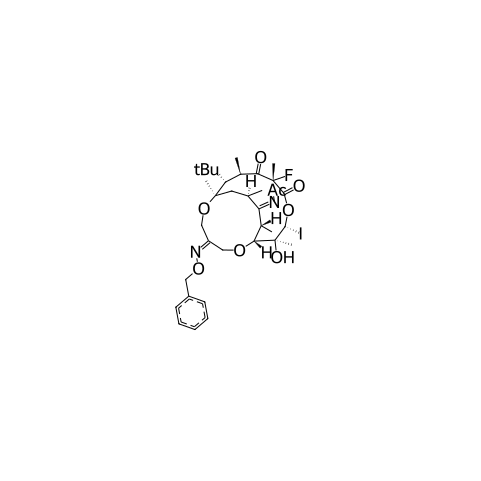 CC(=O)/N=C1\[C@H](C)C[C@@]2(C)OC/C(=N/OCc3ccccc3)CO[C@H]([C@H]1C)[C@](C)(O)[C@@H](I)OC(=O)[C@@](C)(F)C(=O)[C@H](C)[C@H]2C(C)(C)C